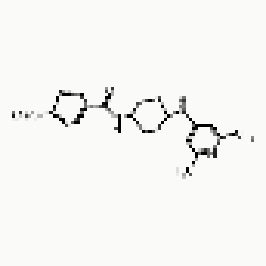 COc1ccc(C(=O)NC2CCC(Nc3cc(C(F)(F)F)nc(C(F)(F)F)c3)CC2)cc1